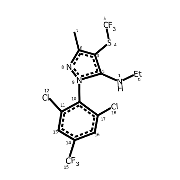 CCNc1c(SC(F)(F)F)c(C)nn1-c1c(Cl)cc(C(F)(F)F)cc1Cl